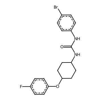 O=C(Nc1ccc(Br)cc1)NC1CCC(Oc2ccc(F)cc2)CC1